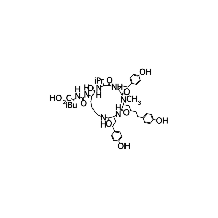 CC[C@H](C)[C@H](NC(=O)N[C@@H]1CCCCNC(=O)[C@H](CCc2ccc(O)cc2)NC(=O)[C@H](CCCCc2ccc(O)cc2)N(C)C(=O)[C@H](CCc2ccc(O)cc2)NC(=O)[C@H](C(C)C)NC1=O)C(=O)O